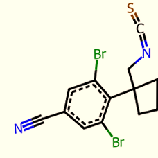 N#Cc1cc(Br)c(C2(CN=C=S)CCC2)c(Br)c1